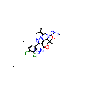 CC(C)C1CN(C(N)=O)C(C(C)(C)C)c2c(C(N)=O)c(-c3ccc(F)c(Cl)c3)nn21